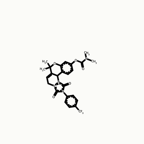 CN(C)C(=O)Oc1ccc2c(c1)OC(C)(C)C1=CCn3c(=O)n(-c4ccc(C(F)(F)F)cc4)c(=O)n3C12